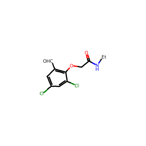 CCNC(=O)COc1c(Cl)cc(Cl)cc1C=O